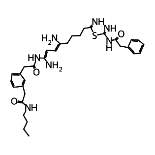 CCCCNC(=O)Cc1cccc(CC(=O)N/C(N)=C/C=C(\N)CCCCC(=N)SC(=N)NC(=O)Cc2ccccc2)c1